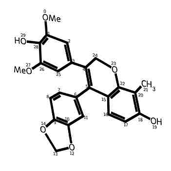 COc1cc(C2=C(c3ccc4c(c3)OCO4)c3ccc(O)c(C)c3OC2)cc(OC)c1O